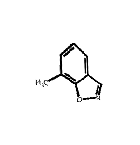 Cc1cccc2cnoc12